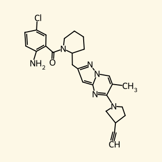 C#CC1CCN(c2nc3cc(CC4CCCCN4C(=O)c4cc(Cl)ccc4N)nn3cc2C)C1